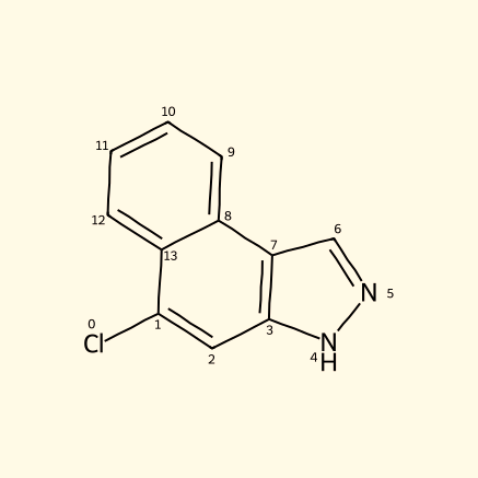 Clc1cc2[nH]ncc2c2ccccc12